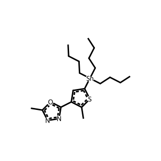 CCC[CH2][Sn]([CH2]CCC)([CH2]CCC)[c]1cc(-c2nnc(C)o2)c(C)s1